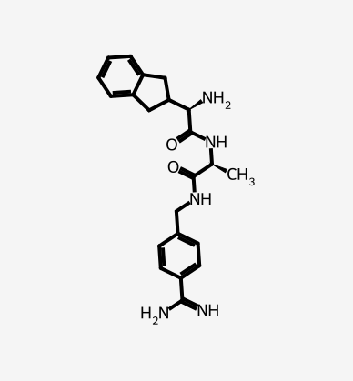 C[C@H](NC(=O)[C@H](N)C1Cc2ccccc2C1)C(=O)NCc1ccc(C(=N)N)cc1